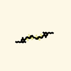 CCCCc1cc(C)c(-c2cc3sc4cc(-c5cc6sc7cc(-c8c(C)cc(CCCC)cc8C)sc7c6s5)sc4c3s2)c(C)c1